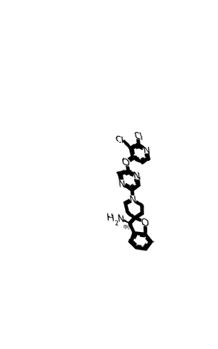 N[C@@H]1c2ccccc2OC12CCN(c1cnc(Oc3ccnc(Cl)c3Cl)cn1)CC2